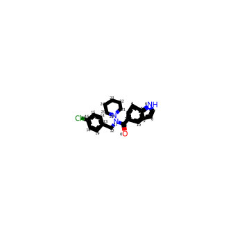 O=C(c1ccc2[nH]ccc2c1)N(Cc1ccc(Cl)cc1)N1CCCCC1